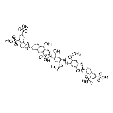 COc1cc(N=Nc2ccc3cc(S(=O)(=O)O)cc(S(=O)(=O)O)c3c2)c(C)cc1N=Nc1cc(O)c(N=Nc2c(S(=O)(=O)O)cc3cc(-n4nc5ccc6c(S(=O)(=O)O)cc(S(=O)(=O)O)cc6c5n4)ccc3c2O)cc1OC